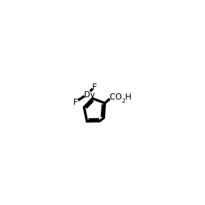 O=C(O)c1ccccc1.[F][Dy][F]